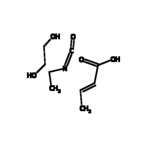 C/C=C/C(=O)O.CCN=C=O.OCCO